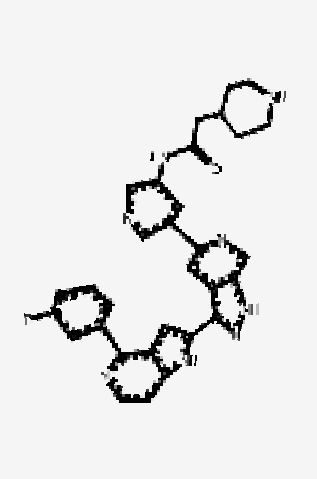 O=C(CC1CCNCC1)Nc1cncc(-c2cc3c(-c4cc5c(-c6cccc(F)c6)nccc5[nH]4)n[nH]c3cn2)c1